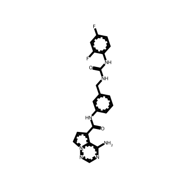 Nc1ncnn2ccc(C(=O)Nc3cccc(CNC(=O)Nc4ccc(F)cc4F)c3)c12